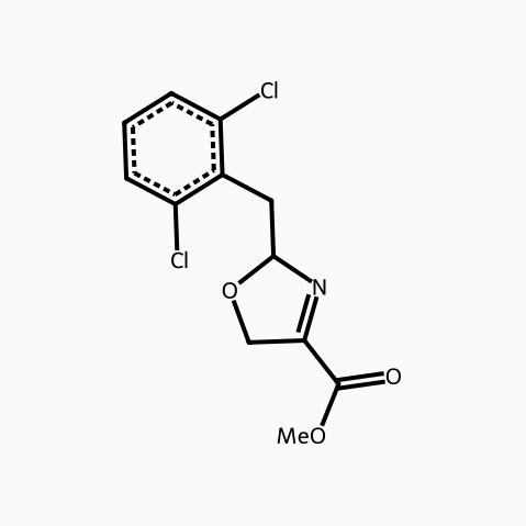 COC(=O)C1=NC(Cc2c(Cl)cccc2Cl)OC1